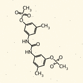 Cc1cc(NC(=O)Nc2cc(C)cc(OS(C)(=O)=O)c2)cc(OS(C)(=O)=O)c1